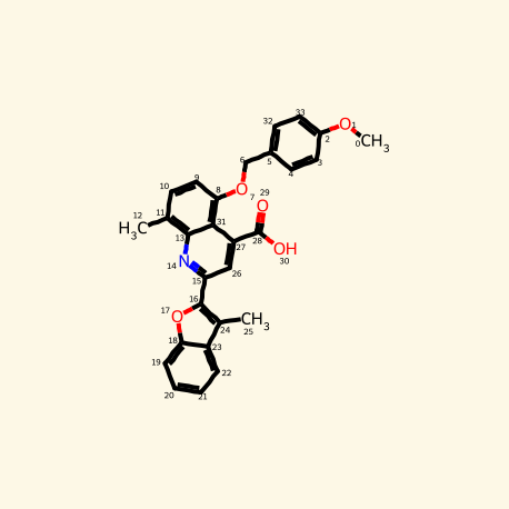 COc1ccc(COc2ccc(C)c3nc(-c4oc5ccccc5c4C)cc(C(=O)O)c23)cc1